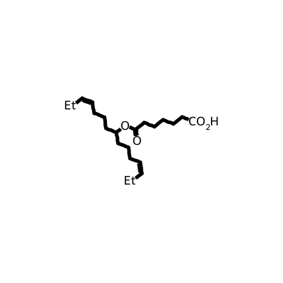 CC/C=C\CCCC(CCC/C=C\CC)OC(=O)CCCCCC(=O)O